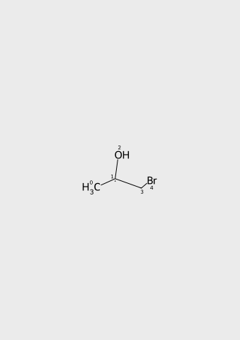 C[C](O)CBr